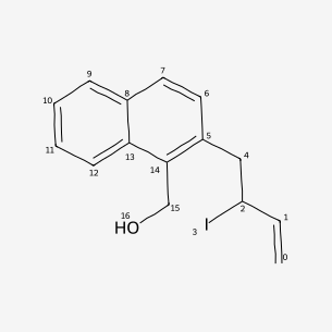 C=CC(I)Cc1ccc2ccccc2c1CO